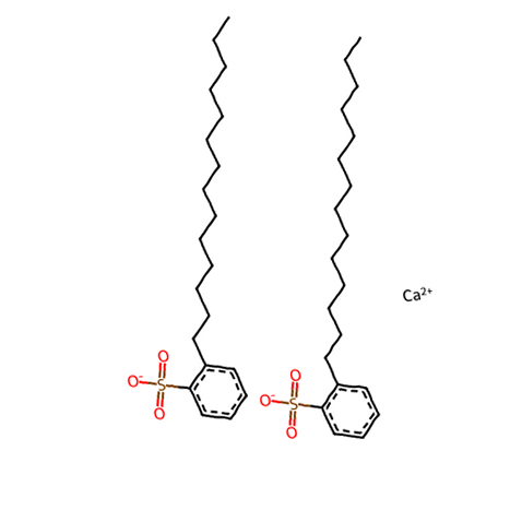 CCCCCCCCCCCCCCc1ccccc1S(=O)(=O)[O-].CCCCCCCCCCCCCCc1ccccc1S(=O)(=O)[O-].[Ca+2]